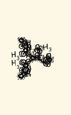 COc1cc2c(cc1OCc1cc(COc3cc4c(cc3OC)C(=O)N3c5ccccc5C[C@H]3C=N4)cc(N(CCCC(=O)ON3C(=O)CCC3=O)C(C)(C)CCOC(C)(C)C)c1)N=C[C@@H]1Cc3ccccc3N1C2=O